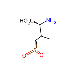 CC(C=S(=O)=O)[C@H](N)C(=O)O